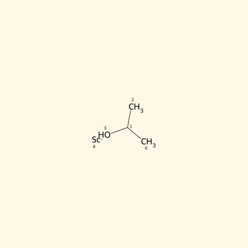 CC(C)O.[Sc]